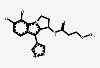 COCCC(=O)NC1CCn2c1c(-c1cn[nH]c1)c1ccc(Cl)c(Cl)c12